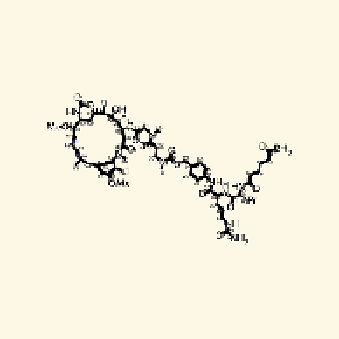 BC(=O)CCCCC(=O)N[C@H](C(=O)N[C@@H](CCCNC(N)=O)C(=O)Nc1ccc(COC(=O)N(C)CCC(=O)N(C)CC(=O)O[C@H]2CC(=O)N(C)c3cc(cc(OC)c3Cl)C/C(C)=C/C=C/[C@@H](OC)C3C[C@H](OC(=O)N3)[C@@H](C)[C@H](O)[C@@H]2C)cc1)C(C)C